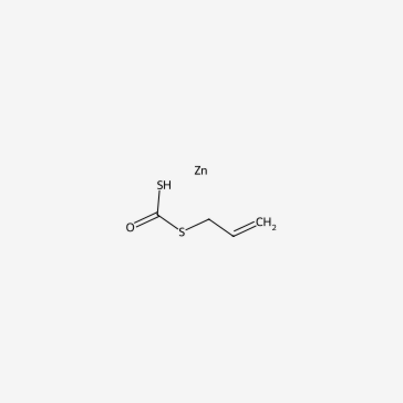 C=CCSC(=O)S.[Zn]